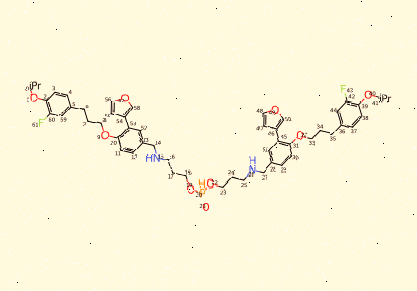 CC(C)Oc1ccc(CCCOc2ccc(CNCCCO[PH](=O)OCCCNCc3ccc(OCCCc4ccc(OC(C)C)c(F)c4)c(-c4ccoc4)c3)cc2-c2ccoc2)cc1F